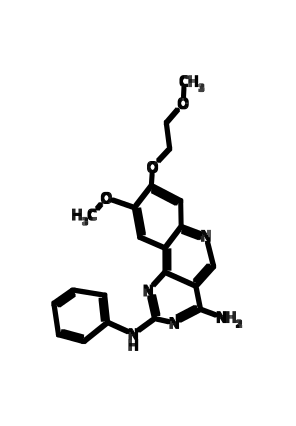 COCCOc1cc2ncc3c(N)nc(Nc4ccccc4)nc3c2cc1OC